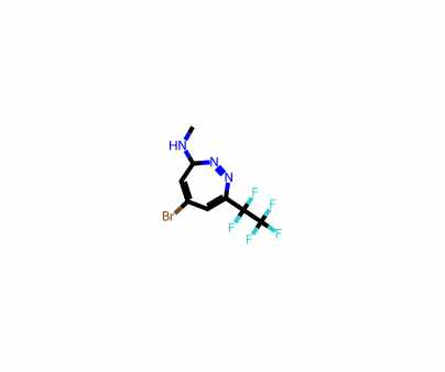 CNC1C=C(Br)C=C(C(F)(F)C(F)(F)F)N=N1